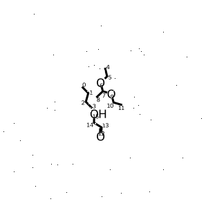 CCCC.CCOC(C)OCC.O=CCO